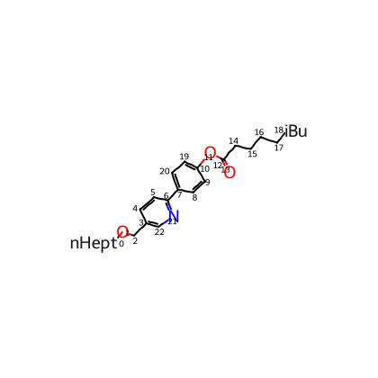 CCCCCCCOCc1ccc(-c2ccc(OC(=O)CCCCC(C)CC)cc2)nc1